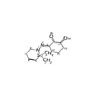 C[Si]1(C)CCCCN1N=C1CCCC(=O)C1=O